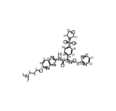 CN(C)CCCOc1ccc2nc(NC(=O)/C(=N/OCc3ncccn3)c3ccc(S(=O)(=O)[C@H]4CCOC4)cc3)sc2n1